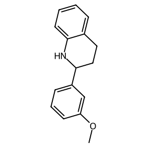 COc1cccc(C2CCc3ccccc3N2)c1